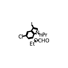 CCCn1cc(I)c2cc(Cl)ccc21.CCOC=O